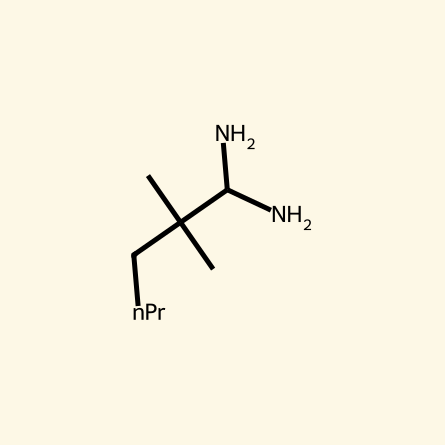 CCCCC(C)(C)C(N)N